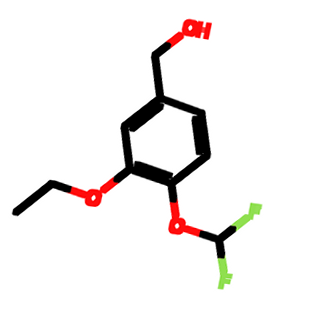 CCOc1cc(CO)ccc1OC(F)F